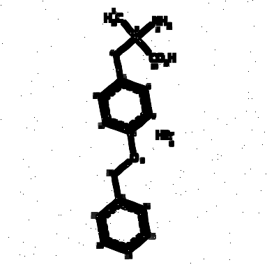 Br.CC(N)(Cc1ccc(OCc2ccccc2)cc1)C(=O)O